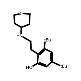 CC(C)(C)c1cc(O)c(CCNC2CCCCC2)c(C(C)(C)C)c1